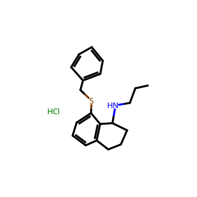 CCCNC1CCCc2cccc(SCc3ccccc3)c21.Cl